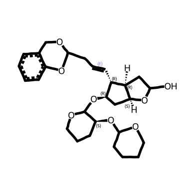 OC1C[C@@H]2[C@@H](/C=C/CC3OCc4ccccc4O3)[C@H](OC3OCCC[C@@H]3OC3CCCCO3)C[C@@H]2O1